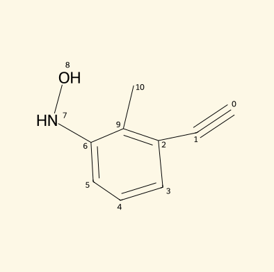 C#Cc1cccc(NO)c1C